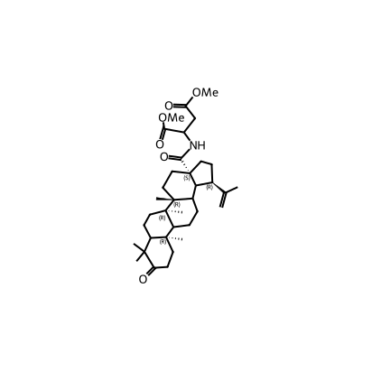 C=C(C)[C@@H]1CC[C@]2(C(=O)NC(CC(=O)OC)C(=O)OC)CC[C@]3(C)C(CCC4[C@@]5(C)CCC(=O)C(C)(C)C5CC[C@]43C)C12